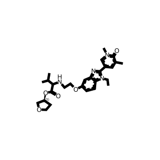 CCn1c(-c2cc(C)c(=O)n(C)c2)nc2cc(OCCNC(C(=O)O[C@H]3CCOC3)C(C)C)ccc21